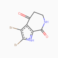 O=C1NCCC(=O)c2c1[nH]c(Br)c2Br